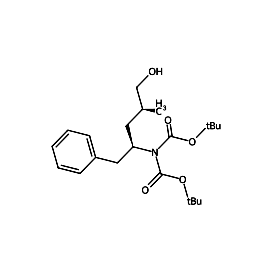 C[C@H](CO)C[C@H](Cc1ccccc1)N(C(=O)OC(C)(C)C)C(=O)OC(C)(C)C